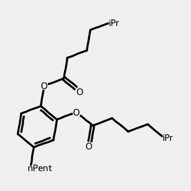 CCCCCc1ccc(OC(=O)CCCC(C)C)c(OC(=O)CCCC(C)C)c1